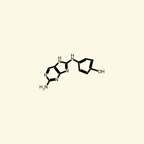 Nc1ncc2[nH]c(Nc3ccc(O)cc3)nc2n1